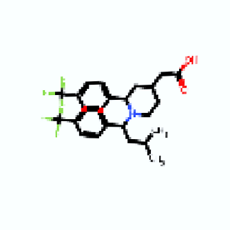 CC(C)CC(c1ccc(C(F)(F)F)cc1)N1CCC(CC(=O)O)CC1c1ccc(C(F)(F)F)cc1